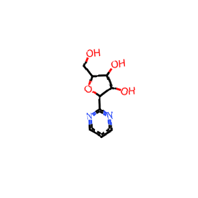 OCC1OC(c2ncccn2)C(O)C1O